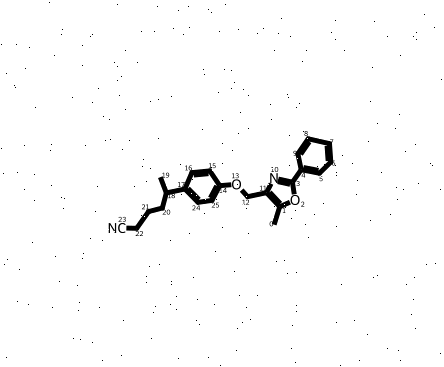 Cc1oc(-c2ccccc2)nc1COc1ccc(C(C)CCCC#N)cc1